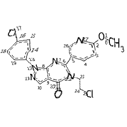 COc1ccc(-c2nc3c(cnn3-c3ccc(Cl)cc3)c(=O)n2CCCl)cn1